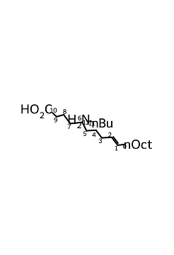 CCCCCCCCC=CCCCCCCCC(=O)O.CCCCN